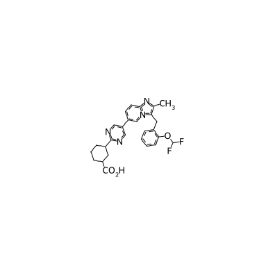 Cc1nc2ccc(-c3cnc(C4CCCC(C(=O)O)C4)nc3)cn2c1Cc1ccccc1OC(F)F